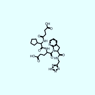 O=C(O)CCC(=O)NC(C(=O)NC(CCC(=O)O)C(=O)N1c2ncccc2CC1C(=O)NCc1nn[nH]n1)C1CCCC1